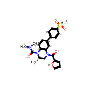 C[C@H]1CN(C(=O)c2ccco2)c2cc(-c3ccc(S(C)(=O)=O)cc3)ccc2N1C(=O)N(C)C